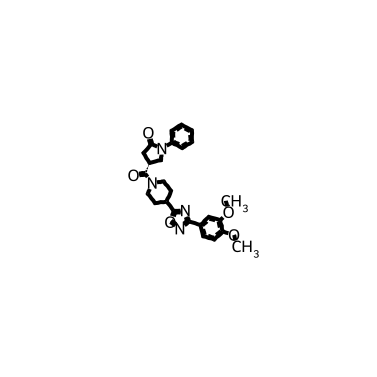 COc1ccc(-c2noc(C3CCN(C(=O)[C@@H]4CC(=O)N(c5ccccc5)C4)CC3)n2)cc1OC